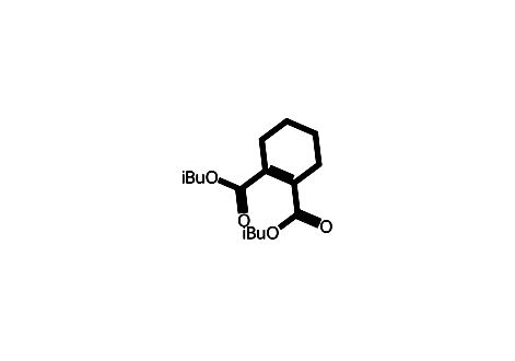 CC(C)COC(=O)C1=C(C(=O)OCC(C)C)CCCC1